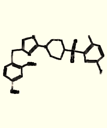 COc1ccc(Cc2csc(N3CCC(S(=O)(=O)c4cc(F)ccc4C)CC3)n2)c(OC)c1